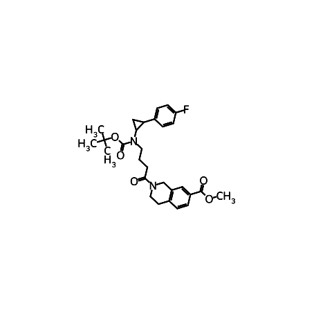 COC(=O)c1ccc2c(c1)CN(C(=O)CCCN(C(=O)OC(C)(C)C)C1CC1c1ccc(F)cc1)CC2